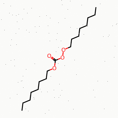 CCCCCCCCOOC(=O)OCCCCCCCC